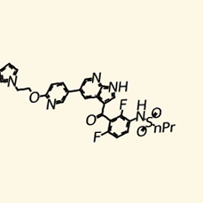 CCCS(=O)(=O)Nc1ccc(F)c(C(=O)c2c[nH]c3ncc(-c4ccc(OCCn5cccc5)nc4)cc23)c1F